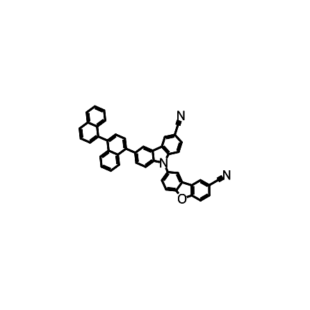 N#Cc1ccc2oc3ccc(-n4c5ccc(C#N)cc5c5cc(-c6ccc(-c7cccc8ccccc78)c7ccccc67)ccc54)cc3c2c1